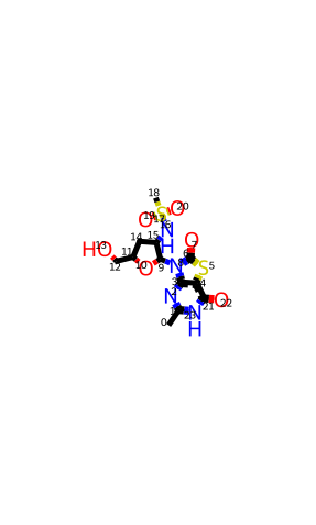 Cc1nc2c(sc(=O)n2C2OC(CO)CC2NS(C)(=O)=O)c(=O)[nH]1